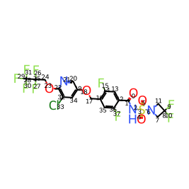 O=C(NS(=O)(=O)N1CC(F)(F)C1)c1cc(F)c(COc2cnc(OCC(F)(F)C(F)(F)F)c(Cl)c2)cc1F